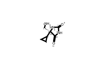 NC[C@]1(C2CC2)NC(=O)NC1=O